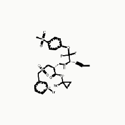 CC#C[C@H](NC[C@@H](CS(=O)(=O)Cc1ccc[n+]([O-])c1)C(=O)NC1(C#N)CC1)C(F)(F)Oc1ccc(S(C)(=O)=O)cc1